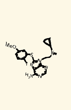 COc1ccc(I)c(Sc2nc3c(N)ncnc3n2CCN(C)C2CC2)c1